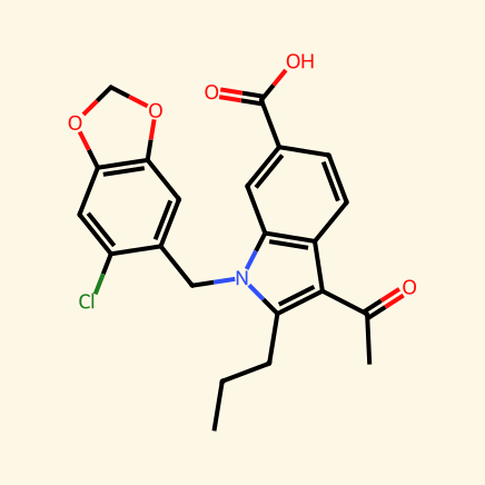 CCCc1c(C(C)=O)c2ccc(C(=O)O)cc2n1Cc1cc2c(cc1Cl)OCO2